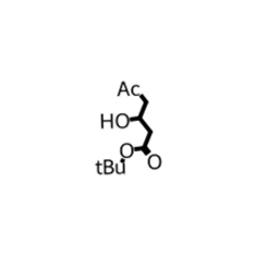 CC(=O)CC(O)CC(=O)OC(C)(C)C